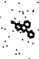 BrC1=CN2C(=NC(c3ccccn3)C3CCC=CC32)N=C1